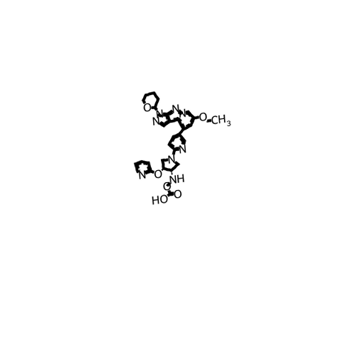 CCOc1cc(-c2ccc(N3C[C@H](NOC(=O)O)[C@@H](Oc4ccccn4)C3)nc2)c2c3cnn(C4CCCCO4)c3nn2c1